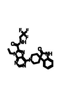 CCn1c(C(=O)NCC(F)(F)F)nc2c(N3CCC4(CC3)C(=O)Nc3ccccc34)ncnc21